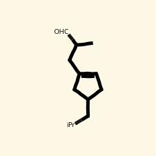 CC(C)CC1CC=C(CC(C)C=O)C1